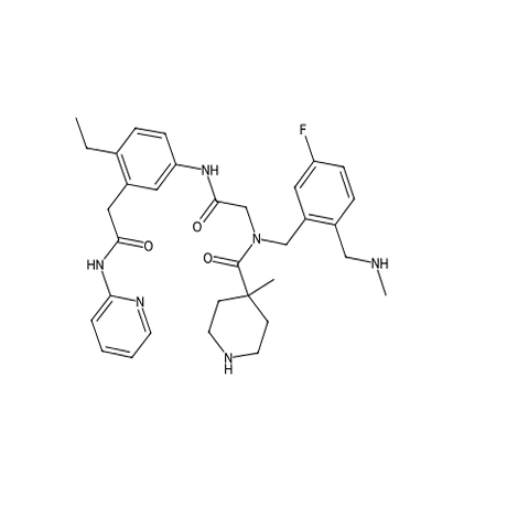 CCc1ccc(NC(=O)CN(Cc2cc(F)ccc2CNC)C(=O)C2(C)CCNCC2)cc1CC(=O)Nc1ccccn1